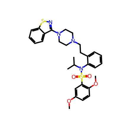 COc1ccc(OC)c(S(=O)(=O)N(c2ccccc2CCN2CCN(c3nsc4ccccc34)CC2)C(C)C)c1